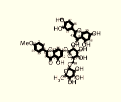 COc1ccc(-c2cc(=O)c3c(O)cc(O[C@@H]4O[C@H](CO[C@@H]5O[C@@H](C)[C@H](O)[C@@H](O)[C@H]5O)[C@@H](O)[C@H](O)[C@H]4O)cc3o2)cc1.O=c1cc(-c2ccc(O)c(O)c2)oc2cc(O)cc(O)c12